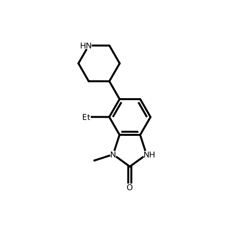 CCc1c(C2CCNCC2)ccc2[nH]c(=O)n(C)c12